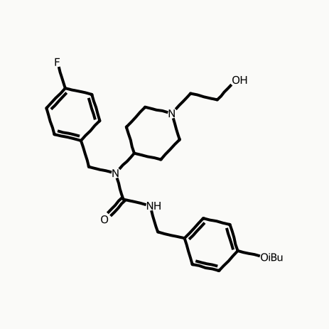 CC(C)COc1ccc(CNC(=O)N(Cc2ccc(F)cc2)C2CCN(CCO)CC2)cc1